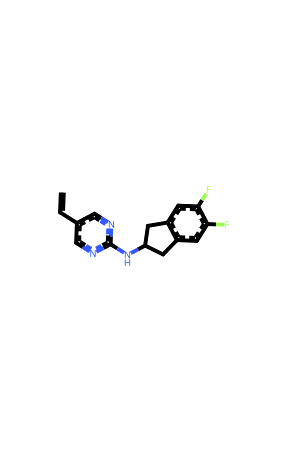 C=Cc1cnc(NC2Cc3cc(F)c(F)cc3C2)nc1